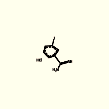 Cl.N=C(N)c1cccc(I)c1